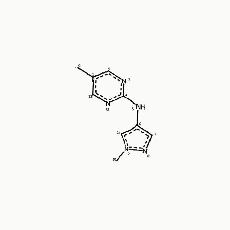 [CH2]c1cnc(Nc2cnn(C)c2)nc1